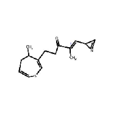 C/C(=C\C1C=N1)C(=O)CCC1=CSC=CCC1C